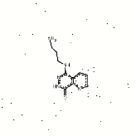 NCCCNc1n[nH]c(=O)c2ncccc12